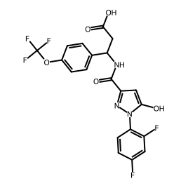 O=C(O)CC(NC(=O)c1cc(O)n(-c2ccc(F)cc2F)n1)c1ccc(OC(F)(F)F)cc1